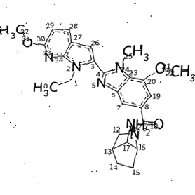 CCn1c(-c2nc3cc(C(=O)N4CC5CCC4C5N)cc(OC)c3n2C)cc2ccc(OC)nc21